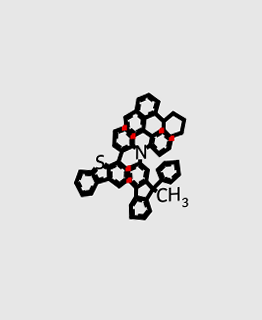 CC1(c2ccccc2)c2ccccc2-c2ccc(N(c3ccccc3-c3cccc4c3sc3ccccc34)c3ccccc3-c3cccc4cccc(C5CCCCC5)c34)cc21